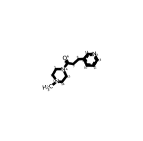 CN1CCN(C(=O)CCc2cccnc2)CC1